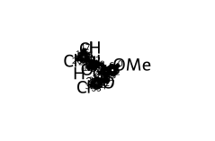 COc1ccc2c(c1)c(Cc1cc(=O)n(-c3cc(Cl)cc(Cl)c3)[nH]1)c(C)n2C(=O)c1ccc(Cl)cc1